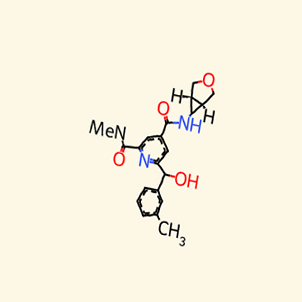 CNC(=O)c1cc(C(=O)N[C@H]2[C@@H]3COC[C@@H]32)cc(C(O)c2cccc(C)c2)n1